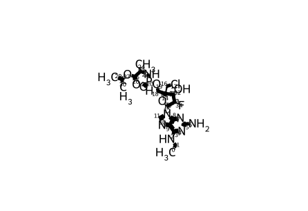 CCNc1nc(N)nc2c1ncn2[C@@H]1O[C@](CCl)(CO[PH](=O)N[C@@H](C)C(=O)OC(C)C)[C@@H](O)[C@@H]1F